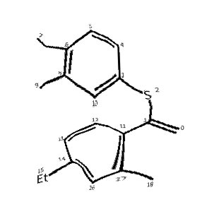 C=C(Sc1ccc(C)c(C)c1)c1ccc(CC)cc1C